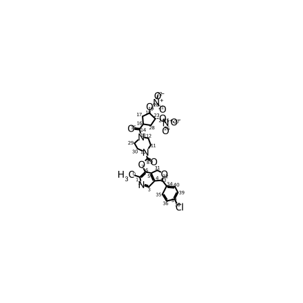 Cc1ncc2c(c1OC(=O)N1CCN(C(=O)C3C[C@H](O[N+](=O)[O-])[C@H](O[N+](=O)[O-])C3)CC1)COC2c1ccc(Cl)cc1